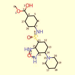 COC(O)C1CCC(N[S+]([O-])C2CCC(N3CCCCC3)C3NONC32)CC1